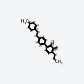 CCCc1ccc(-c2ccc(CCC3=CCC(C)CC3)cc2)c(Cl)c1F